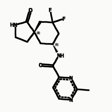 Cc1nccc(C(=O)N[C@H]2CC(F)(F)C[C@]3(CCNC3=O)C2)n1